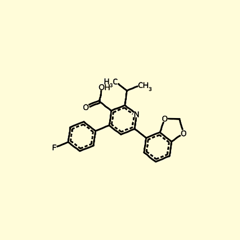 CC(C)c1nc(-c2cccc3c2OCO3)cc(-c2ccc(F)cc2)c1C(=O)O